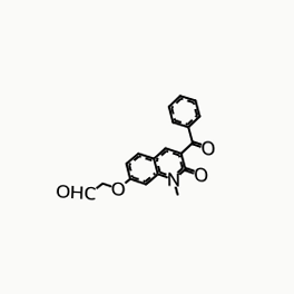 Cn1c(=O)c(C(=O)c2ccccc2)cc2ccc(OCC=O)cc21